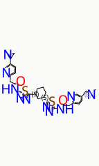 C/N=C/c1ccc(CC(=O)Nc2nnc([C@H]3CCC[C@H](c4nnc(NC(=O)Cc5ccc(C6=NC6)cn5)s4)C3)s2)nc1